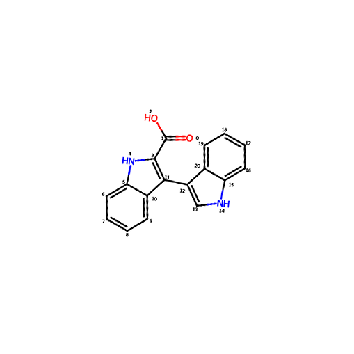 O=C(O)c1[nH]c2ccccc2c1-c1c[nH]c2ccccc12